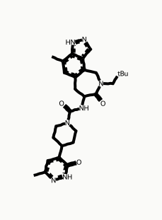 Cc1cc(C2CCN(C(=O)NC3Cc4cc(C)c5[nH]ncc5c4CN(CC(C)(C)C)C3=O)CC2)c(=O)[nH]n1